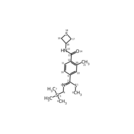 CSC(=NC[Si](C)(C)C)c1ccc(C(=O)NC2CSC2)c(C)c1